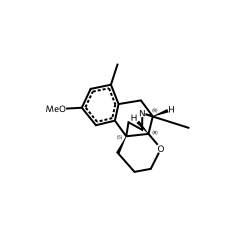 COc1cc(C)c2c(c1)[C@@]13CCCO[C@H]1[C@@H](C2)N(C)CC3